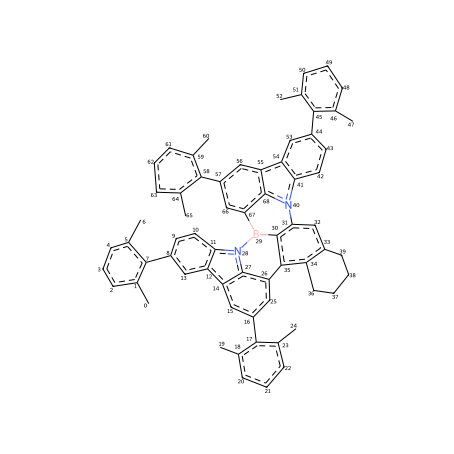 Cc1cccc(C)c1-c1ccc2c(c1)c1cc(-c3c(C)cccc3C)cc3c1n2B1c2c(cc4c(c2-3)CCCC4)-n2c3ccc(-c4c(C)cccc4C)cc3c3cc(-c4c(C)cccc4C)cc1c32